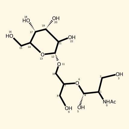 CC(=O)NC(CO)[C@H](O)OC(CO)CO[C@@H]1OC(CO)[C@H](O)[C@H](O)C1O